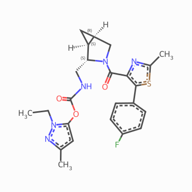 CCn1nc(C)cc1OC(=O)NC[C@@H]1[C@H]2C[C@H]2CN1C(=O)c1nc(C)sc1-c1ccc(F)cc1